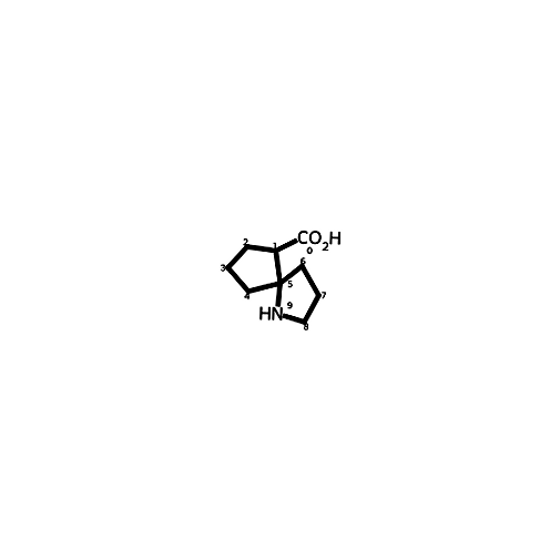 O=C(O)C1CCCC12CCCN2